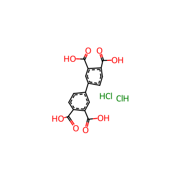 Cl.Cl.O=C(O)c1ccc(-c2ccc(C(=O)O)c(C(=O)O)c2)cc1C(=O)O